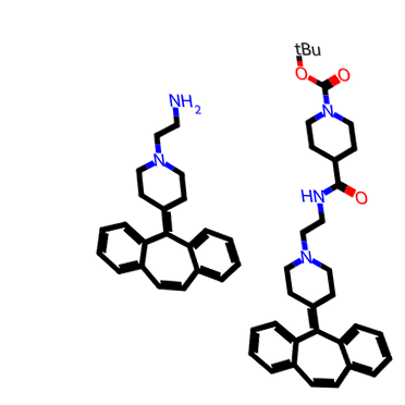 CC(C)(C)OC(=O)N1CCC(C(=O)NCCN2CCC(=C3c4ccccc4C=Cc4ccccc43)CC2)CC1.NCCN1CCC(=C2c3ccccc3C=Cc3ccccc32)CC1